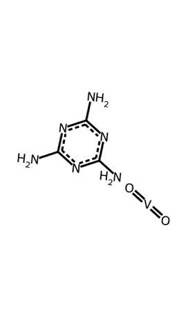 Nc1nc(N)nc(N)n1.[O]=[V]=[O]